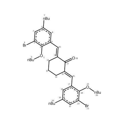 CCCCOc1c(Br)cc(CCCC)cc1/C=C1\CCC/C(=C\c2cc(CCCC)cc(Br)c2OCCCC)C1=O